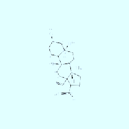 C=CC12CC[C@H]3[C@@H](CC[C@H]4C[C@H](O)CC[C@@]43C)[C@@H]1CCC2C(C)=O